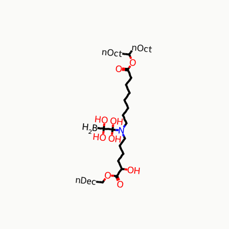 BC(O)(O)C(O)(O)N(CCCCCCCC(=O)OC(CCCCCCCC)CCCCCCCC)CCCCC(O)C(=O)OCCCCCCCCCCC